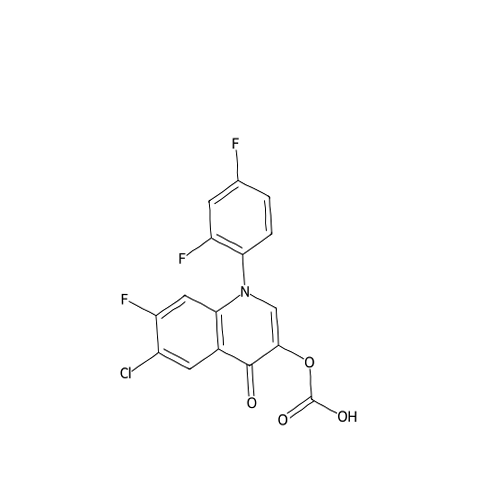 O=C(O)Oc1cn(-c2ccc(F)cc2F)c2cc(F)c(Cl)cc2c1=O